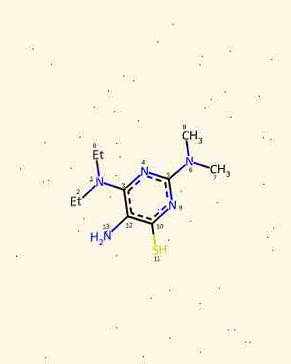 CCN(CC)c1nc(N(C)C)nc(S)c1N